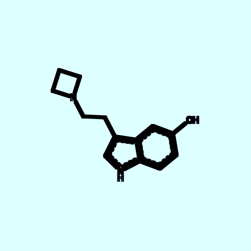 Oc1ccc2[nH]cc(CCN3CCC3)c2c1